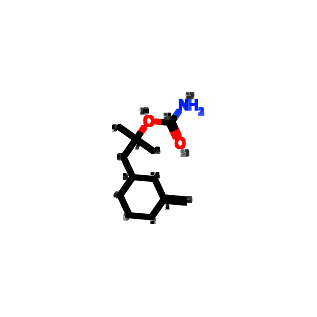 C=C1CCCC(CC(C)(C)OC(N)=O)C1